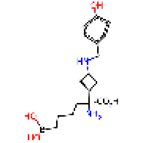 N[C@](CCCCB(O)O)(C(=O)O)[C@H]1C[C@H](NCc2ccc(O)cc2)C1